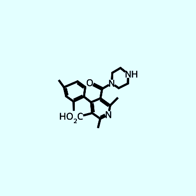 Cc1ccc(-c2c(C(=O)O)c(C)nc(C)c2C(=O)N2CCNCC2)c(C)c1